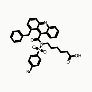 O=C(O)CCCCCN(C(=O)c1c2ccccc2nc2cccc(Cc3ccccc3)c12)S(=O)(=O)c1ccc(Br)cc1